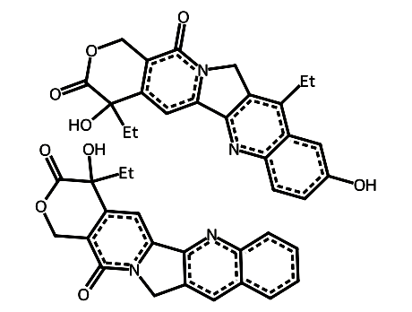 CCC1(O)C(=O)OCc2c1cc1n(c2=O)Cc2cc3ccccc3nc2-1.CCc1c2c(nc3ccc(O)cc13)-c1cc3c(c(=O)n1C2)COC(=O)C3(O)CC